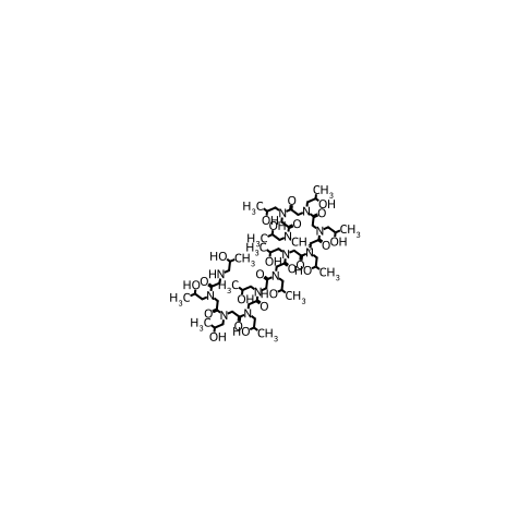 CC(O)CNCC(=O)N(CC(=O)N(CC(=O)N(CC(=O)N(CC(=O)N(CC(=O)N(CC(=O)N(CC(=O)N(CC(=O)N(CC(=O)N(CC(=O)N(C)CC(C)O)CC(C)O)CC(C)O)CC(C)O)CC(C)O)CC(C)O)CC(C)O)CC(C)O)CC(C)O)CC(C)O)CC(C)O